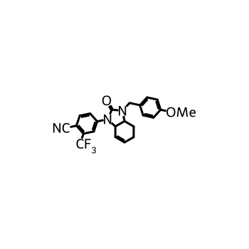 COc1ccc(CN2C(=O)N(c3ccc(C#N)c(C(F)(F)F)c3)C3C=CCCC32)cc1